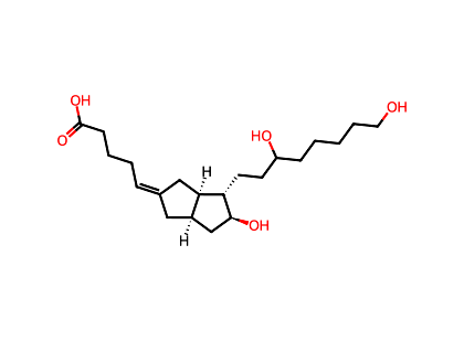 O=C(O)CCCC=C1C[C@@H]2C[C@H](O)[C@@H](CCC(O)CCCCCO)[C@@H]2C1